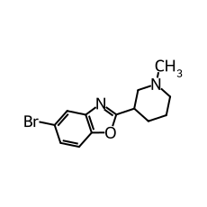 CN1CCCC(c2nc3cc(Br)ccc3o2)C1